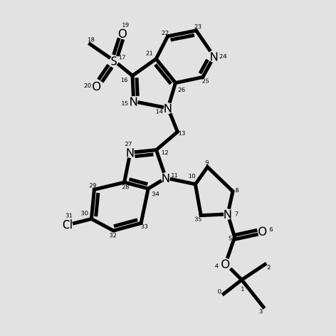 CC(C)(C)OC(=O)N1CCC(n2c(Cn3nc(S(C)(=O)=O)c4ccncc43)nc3cc(Cl)ccc32)C1